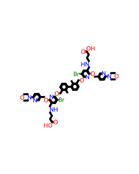 Cc1c(COc2nc(OCc3ccc(N4CCOCC4)nc3)c(CNCCCC(=O)O)cc2Br)cccc1-c1cccc(COc2nc(OCc3ccc(N4CCOCC4)nc3)c(CNCCCC(=O)O)cc2Br)c1C